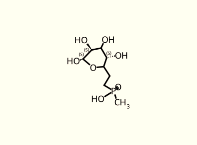 CP(=O)(O)CCC1O[C@H](O)[C@@H](O)C(O)[C@@H]1O